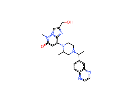 CC(c1ccc2nccnc2c1)N1CCN(c2cc(=O)n(C)n3cc(CO)nc23)C(C)C1